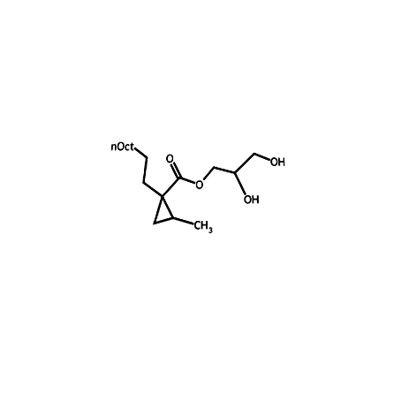 CCCCCCCCCCC1(C(=O)OCC(O)CO)CC1C